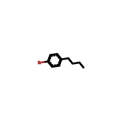 CCCCc1[c]cc(Br)cc1